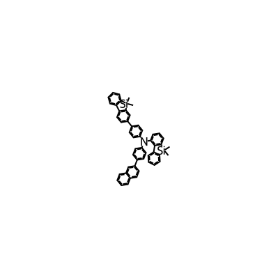 C[Si]1(C)c2ccccc2-c2ccc(-c3ccc(N(c4ccc(-c5ccc6ccccc6c5)cc4)c4cccc5c4-c4ccccc4[Si]5(C)C)cc3)cc21